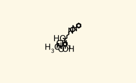 CN(C)C(=O)c1cc(C(O)CCCCN2CCN(c3ccccc3)CC2)ccc1O